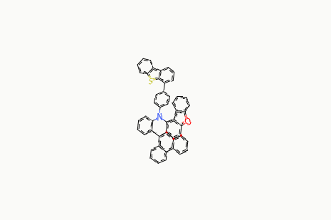 c1ccc(N(c2ccc(-c3cccc4c3sc3ccccc34)cc2)c2cccc3oc4ccccc4c23)c(-c2cc3ccccc3c3ccccc23)c1